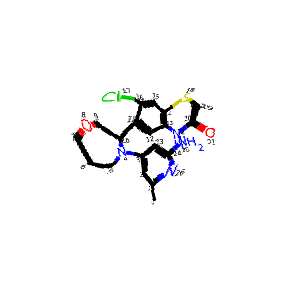 Cc1cc(N2CCCOCC2c2cc3c(cc2Cl)SCC(=O)N3)cc(N)n1